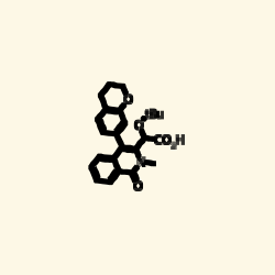 Cn1c(C(OC(C)(C)C)C(=O)O)c(-c2ccc3c(c2)OCCC3)c2ccccc2c1=O